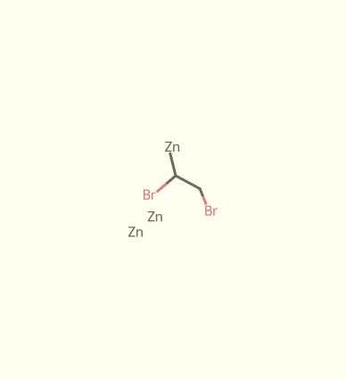 [Zn].[Zn].[Zn][CH](Br)CBr